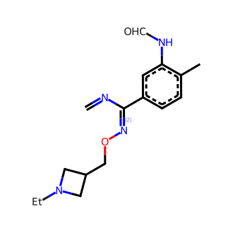 C=N/C(=N\OCC1CN(CC)C1)c1ccc(C)c(NC=O)c1